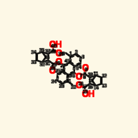 Cc1cccc2c(OC(=O)C3C4C=CC(C4)C3C(=O)O)c3c(C)cccc3c(OC(=O)C3C4C=CC(C4)C3C(=O)O)c12